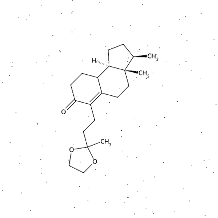 C[C@@H]1CC[C@@H]2C3CCC(=O)C(CCC4(C)OCCO4)=C3CC[C@@]12C